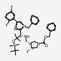 CC(C)(O[Si](C)(C)C(C)(C)C)[C@@H](NC[C@@H]1CN(C(=O)OCc2ccccc2)C[C@@H]1F)c1nc(-c2cc(F)ccc2F)cn1Cc1ccccc1